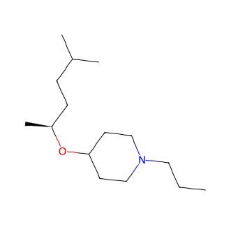 CCCN1CCC(O[C@@H](C)CCC(C)C)CC1